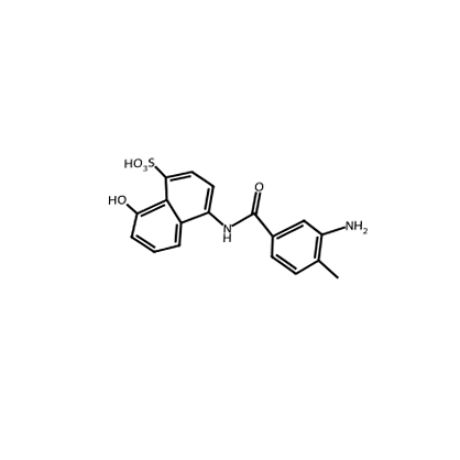 Cc1ccc(C(=O)Nc2ccc(S(=O)(=O)O)c3c(O)cccc23)cc1N